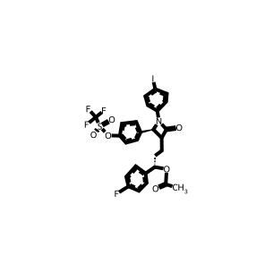 CC(=O)O[C@@H](CCC1C(=O)N(c2ccc(I)cc2)[C@@H]1c1ccc(OS(=O)(=O)C(F)(F)F)cc1)c1ccc(F)cc1